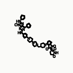 O=C1CCN(N2C(=O)c3cccc(N4CCC(CN5CCN(C6CCN(c7ccc(Nc8nc(-c9ccccc9)c9nc(Nc%10ccccc%10)n(Cl)c9n8)cc7)CC6)CC5)CC4)c3C2=O)C(=O)N1